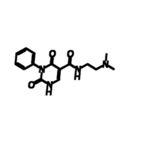 CN(C)CCNC(=O)c1c[nH]c(=O)n(-c2ccccc2)c1=O